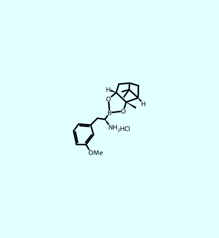 COc1cccc(C[C@H](N)B2O[C@@H]3CC4C[C@@H](C4(C)C)[C@]3(C)O2)c1.Cl